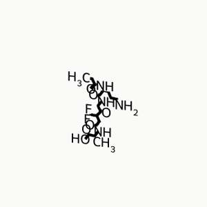 CCC(=O)N[C@@H](CCCN)C(=O)NCC(=O)C(CC(=O)N[C@@H](C)C(=O)O)C(F)F